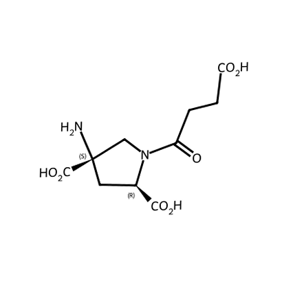 N[C@@]1(C(=O)O)C[C@H](C(=O)O)N(C(=O)CCC(=O)O)C1